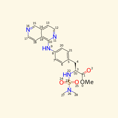 COC(=O)[C@H](Cc1ccc(Nc2nccc3cnccc23)cc1)NS(=O)(=O)N(C)C